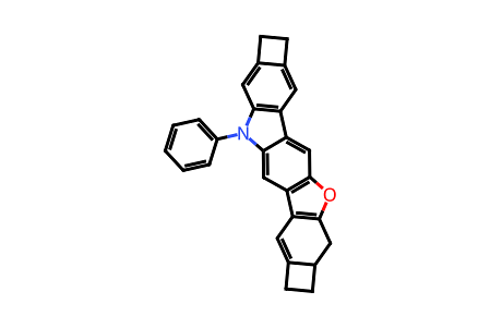 C1=C2CCC2Cc2oc3cc4c5cc6c(cc5n(-c5ccccc5)c4cc3c21)CC6